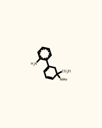 CCOC(=O)C1(NC)C=CC=C(c2ccccc2N)C1